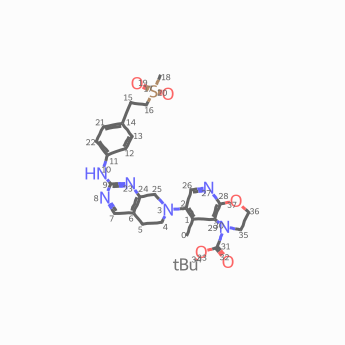 Cc1c(N2CCc3cnc(Nc4ccc(CCS(C)(=O)=O)cc4)nc3C2)cnc2c1N(C(=O)OC(C)(C)C)CCO2